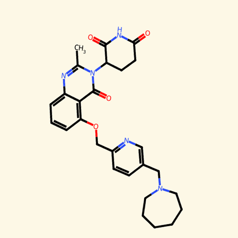 Cc1nc2cccc(OCc3ccc(CN4CCCCCC4)cn3)c2c(=O)n1C1CCC(=O)NC1=O